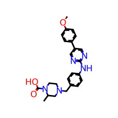 COc1ccc(-c2cnc(Nc3ccc(CN4CCN(C(=O)O)C(C)C4)cc3)nc2)cc1